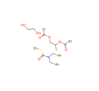 CCC(=O)OCC(C)OC(=O)CC.CCSC(=O)N(CC(C)C)CC(C)C.OCCO